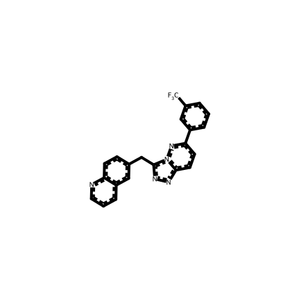 FC(F)(F)c1cccc(-c2ccc3nnc(Cc4ccc5ncccc5c4)n3n2)c1